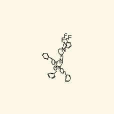 FC(F)(F)c1cccc(N2CCC[C@@H](CN3C[C@H](OCc4ccccc4)C(OCc4ccccc4)[C@H](OCc4ccccc4)C3)C2)n1